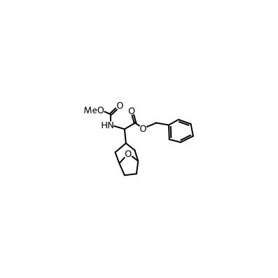 COC(=O)NC(C(=O)OCc1ccccc1)C1CC2CCC(C1)O2